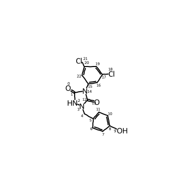 O=c1[nH]n(Cc2ccc(O)cc2)c(=O)n1-c1cc(Cl)cc(Cl)c1